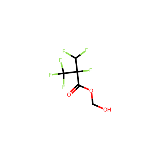 O=C(OCO)C(F)(C(F)F)C(F)(F)F